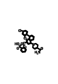 Cc1cc(N2CC=C(C(N)=O)CC2)c2cccc(-c3ccc(Cl)cc3Cl)c2n1.O=S(=O)(O)c1ccccc1